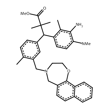 CNc1ccc(C(c2ccc(C)c(CN3CCOc4c(ccc5ccccc45)C3)c2)C(C)(C)C(=O)OC)c(C)c1N